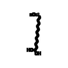 CCCCCCCCCCCCCCCCCCC[C](O)O